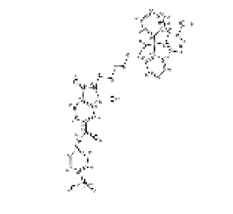 COc1cccc(C(OCCCCCCN2C(=O)c3ccc(C(=O)Oc4ccc([N+](=O)[O-])cc4)cc3C2=O)(c2ccccc2)c2ccccc2)c1OC